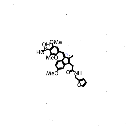 COc1ccc2c(c1)C(CC(=O)NCc1ccco1)=C(C)/C2=C/c1cc(OC)c(B(O)O)c(OC)c1